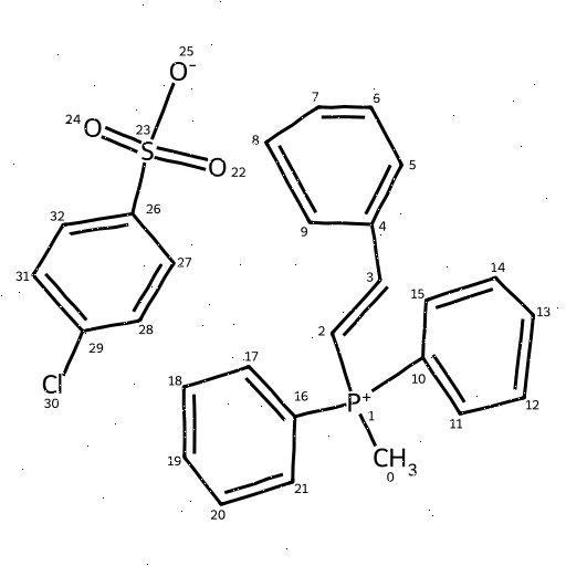 C[P+](C=Cc1ccccc1)(c1ccccc1)c1ccccc1.O=S(=O)([O-])c1ccc(Cl)cc1